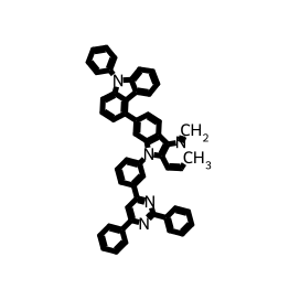 C=Nc1c(/C=C\C)n(-c2cccc(-c3cc(-c4ccccc4)nc(-c4ccccc4)n3)c2)c2cc(-c3cccc4c3c3ccccc3n4-c3ccccc3)ccc12